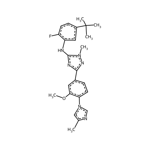 COc1cc(-c2nc(Nc3cc(C(C)(C)C)ccc3F)n(C)n2)ccc1-n1cnc(C)c1